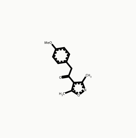 COc1ccc(CC(=O)c2c(C)noc2C)cc1